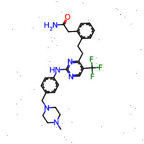 CN1CCN(Cc2ccc(Nc3ncc(C(F)(F)F)c(CCc4ccccc4CC(N)=O)n3)cc2)CC1